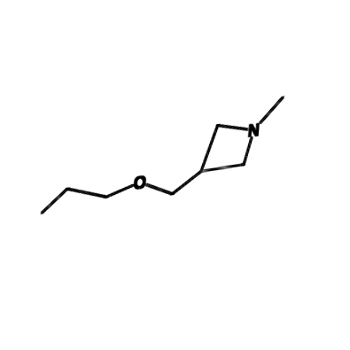 CCCOCC1CN(C)C1